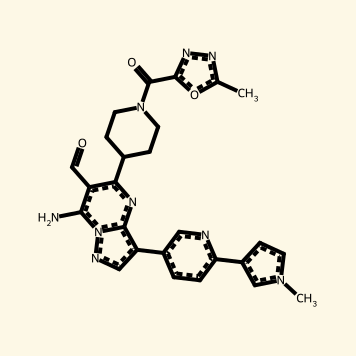 Cc1nnc(C(=O)N2CCC(c3nc4c(-c5ccc(-c6ccn(C)c6)nc5)cnn4c(N)c3C=O)CC2)o1